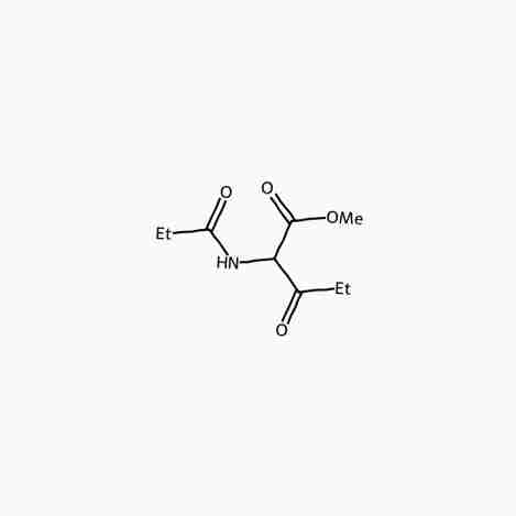 CCC(=O)NC(C(=O)CC)C(=O)OC